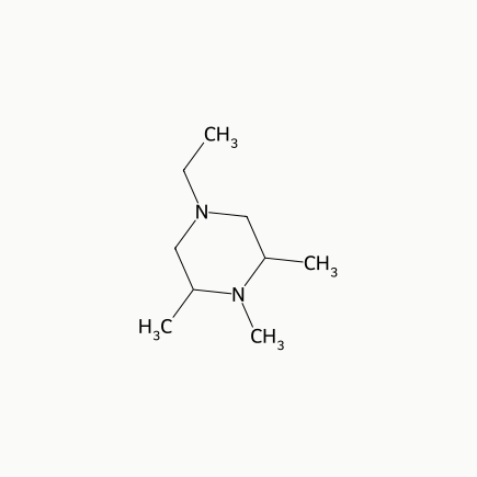 CCN1CC(C)N(C)C(C)C1